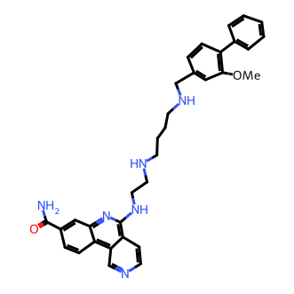 COc1cc(CNCCCCNCCNc2nc3cc(C(N)=O)ccc3c3cnccc23)ccc1-c1ccccc1